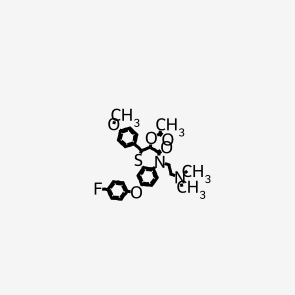 COc1ccc(C2Sc3cc(Oc4ccc(F)cc4)ccc3N(CCN(C)C)C(=O)C2OC(C)=O)cc1